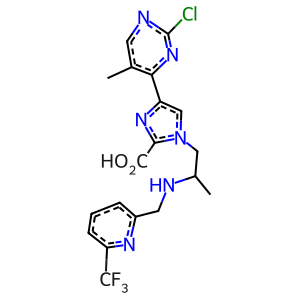 Cc1cnc(Cl)nc1-c1cn(CC(C)NCc2cccc(C(F)(F)F)n2)c(C(=O)O)n1